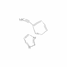 C#Cc1ccccc1.c1cncnc1